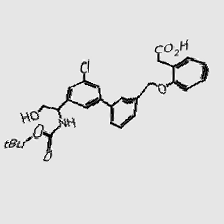 CC(C)(C)OC(=O)NC(CO)c1cc(Cl)cc(-c2cccc(COc3ccccc3CC(=O)O)c2)c1